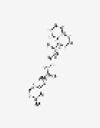 CCC1CC=CC(CNC(=O)CCCNC(=O)N2CCCC3CCCCC32)C1